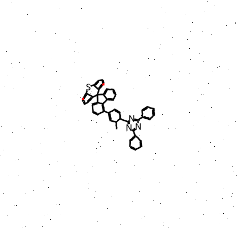 CC1C=C(c2cccc3c2-c2ccccc2C32c3ccccc3Sc3ccccc32)C=CC1c1nc(-c2ccccc2)nc(-c2ccccc2)n1